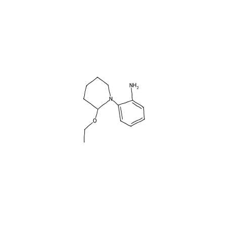 CCOC1CCCCN1c1ccccc1N